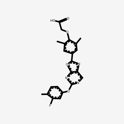 Cc1ccc(Oc2ncc3nc(-c4cc(C)c(OCC(=O)O)c(C)c4)oc3n2)cc1F